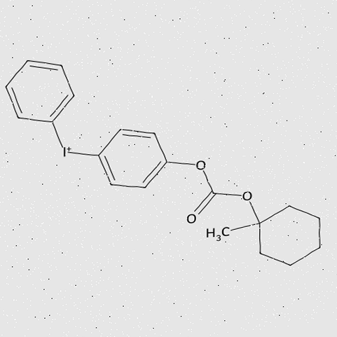 CC1(OC(=O)Oc2ccc([I+]c3ccccc3)cc2)CCCCC1